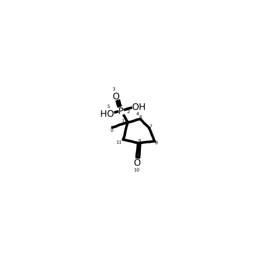 CC1(P(=O)(O)O)CCCC(=O)C1